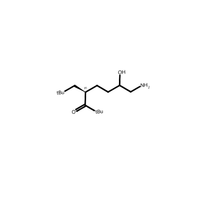 CC(C)(C)C[C@@H](CCC(O)CN)C(=O)C(C)(C)C